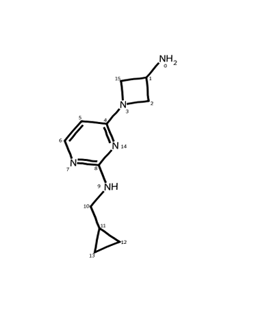 NC1CN(c2ccnc(NCC3CC3)n2)C1